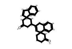 O=C1CC(C2=CC3(CCCC(=O)C3)c3ccccc3C2)CC2(C=Cc3ccccc32)C1